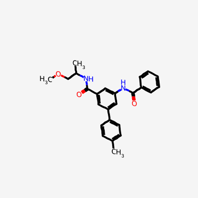 COCC(C)NC(=O)c1cc(NC(=O)c2ccccc2)cc(-c2ccc(C)cc2)c1